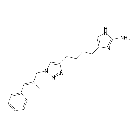 C/C(=C\c1ccccc1)Cn1cc(CCCCc2c[nH]c(N)n2)nn1